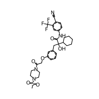 CS(=O)(=O)N1CCN(C(=O)COc2cccc(CC(O)(C(=O)Nc3ccc(C#N)c(C(F)(F)F)c3)C3CCCCC3)c2)CC1